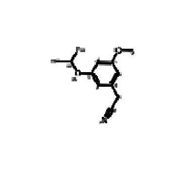 COc1cc(CC#N)cc(OC(F)F)c1